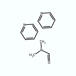 CN(C)C=O.c1ccncc1.c1ccncc1